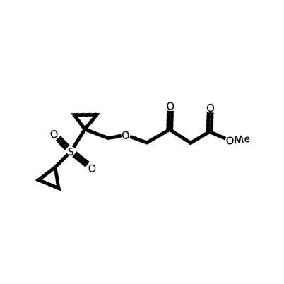 COC(=O)CC(=O)COCC1(S(=O)(=O)C2CC2)CC1